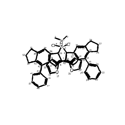 C[SiH](C)[Zr]([Cl])([Cl])([CH]1C(c2ccco2)=Cc2c1cc1c(c2-c2ccccc2)CCC1)[CH]1C(c2ccco2)=Cc2c1cc1c(c2-c2ccccc2)CCC1